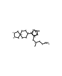 CN(CCN)Cc1c[nH]nc1C1CCC2(CCCC2)CC1